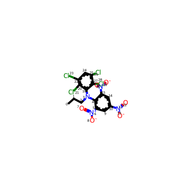 CCCN(c1c([N+](=O)[O-])cc([N+](=O)[O-])cc1[N+](=O)[O-])c1c(Cl)c(Cl)cc(Cl)c1Cl